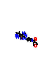 Cc1nnc2sc3c(NC4CC5(C4)CN(C(=O)C4CCOCC4)C5)ncnc3c2c1C